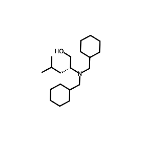 CC(C)C[C@H](CO)N(CC1CCCCC1)CC1CCCCC1